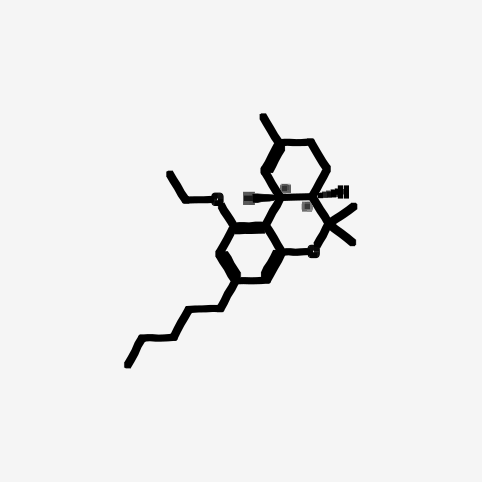 CCCCCc1cc(OCC)c2c(c1)OC(C)(C)[C@@H]1CCC(C)=C[C@@H]21